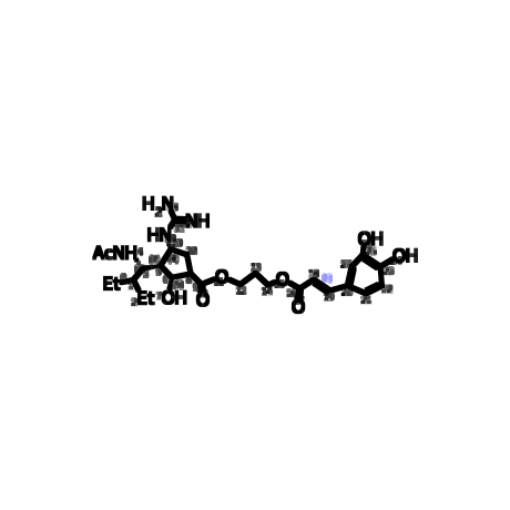 CCC(CC)[C@H](NC(C)=O)[C@@H]1[C@H](O)C(C(=O)OCCCOC(=O)/C=C/c2ccc(O)c(O)c2)C[C@H]1NC(=N)N